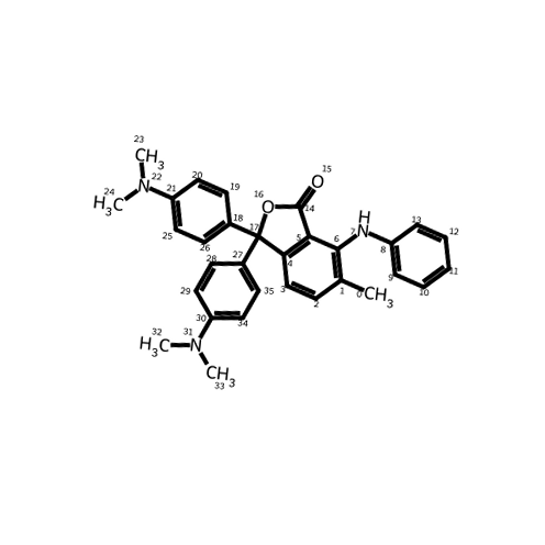 Cc1ccc2c(c1Nc1ccccc1)C(=O)OC2(c1ccc(N(C)C)cc1)c1ccc(N(C)C)cc1